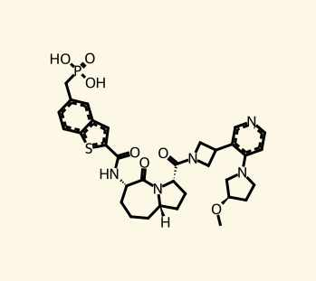 CO[C@@H]1CCN(c2ccncc2C2CN(C(=O)[C@@H]3CC[C@@H]4CCC[C@H](NC(=O)c5cc6cc(CP(=O)(O)O)ccc6s5)C(=O)N43)C2)C1